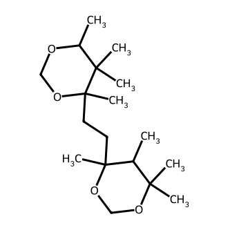 CC1C(C)(C)OCOC1(C)CCC1(C)OCOC(C)C1(C)C